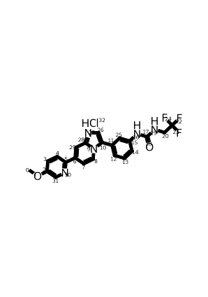 COc1ccc(-c2ccn3c(-c4cccc(NC(=O)NCC(F)(F)F)c4)cnc3c2)nc1.Cl